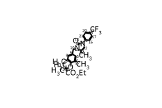 CCOC(=O)C(C)(C)Oc1c(C)cc(CN2C(=O)N(c3ccc(C(F)(F)F)cc3)CC2C)cc1C